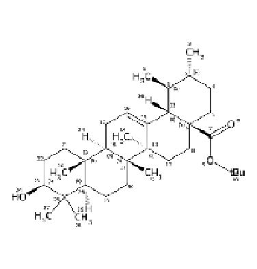 C[C@H]1[C@H](C)CC[C@]2(C(=O)OC(C)(C)C)CC[C@]3(C)C(=CC[C@@H]4[C@@]5(C)CC[C@H](O)C(C)(C)[C@@H]5CC[C@]43C)[C@H]12